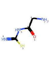 N=C(S)NC(=O)CN